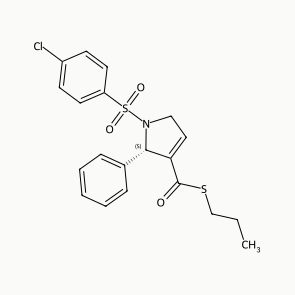 CCCSC(=O)C1=CCN(S(=O)(=O)c2ccc(Cl)cc2)[C@H]1c1ccccc1